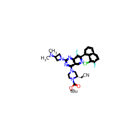 CN(C)C1CN(c2nc(N3CCN(C(=O)OC(C)(C)C)[C@@H](CC#N)C3)c3cnc(-c4cccc5ccc(F)c(Cl)c45)c(F)c3n2)C1